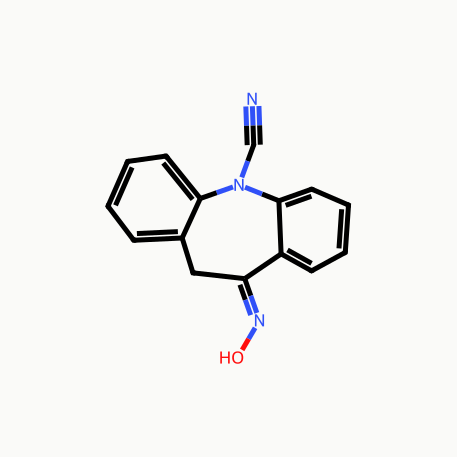 N#CN1c2ccccc2CC(=NO)c2ccccc21